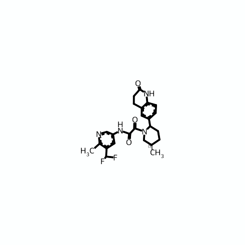 Cc1ncc(NC(=O)C(=O)N2C[C@@H](C)CCC2c2ccc3c(c2)CCC(=O)N3)cc1C(F)F